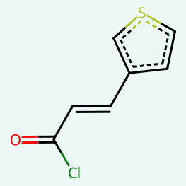 O=C(Cl)C=Cc1ccsc1